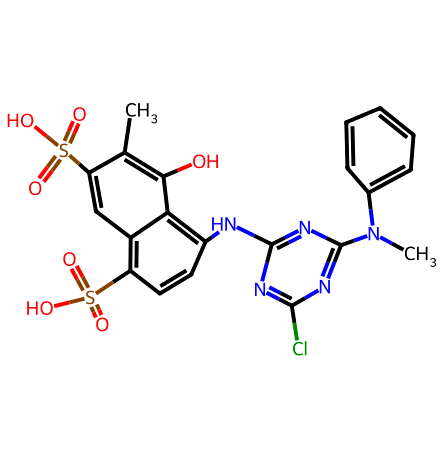 Cc1c(S(=O)(=O)O)cc2c(S(=O)(=O)O)ccc(Nc3nc(Cl)nc(N(C)c4ccccc4)n3)c2c1O